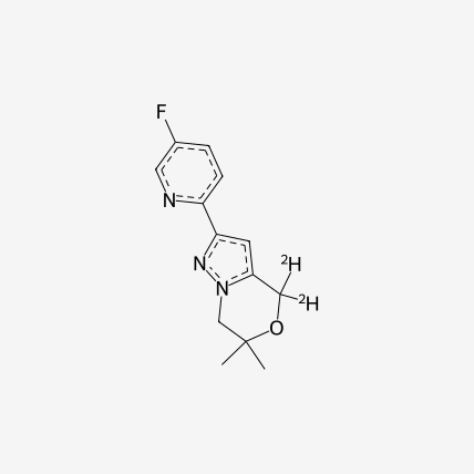 [2H]C1([2H])OC(C)(C)Cn2nc(-c3ccc(F)cn3)cc21